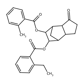 CCc1ccccc1C(=O)OC1C2CC(C1OC(=O)c1ccccc1C)C1C(=O)CCC21